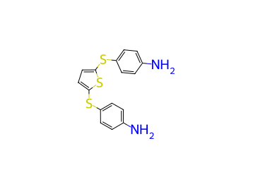 Nc1ccc(Sc2ccc(Sc3ccc(N)cc3)s2)cc1